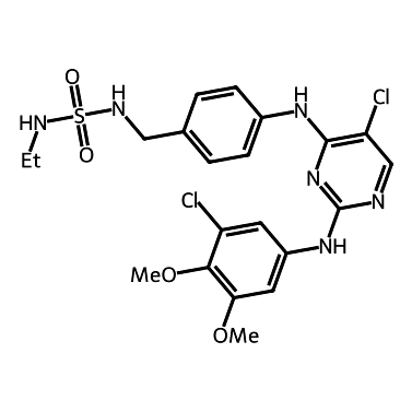 CCNS(=O)(=O)NCc1ccc(Nc2nc(Nc3cc(Cl)c(OC)c(OC)c3)ncc2Cl)cc1